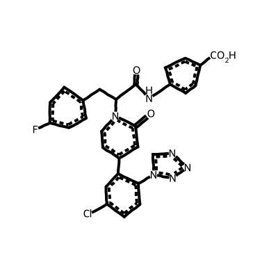 O=C(O)c1ccc(NC(=O)C(Cc2ccc(F)cc2)n2ccc(-c3cc(Cl)ccc3-n3cnnn3)cc2=O)cc1